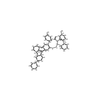 C=C1C2C(CCc3cc4c(cc3-c3ccc(C)c[n+]31)c1cccc3c5cc(-c6ccccc6)ccc5n4c31)c1ccccc1-c1ccc(C)c[n+]12